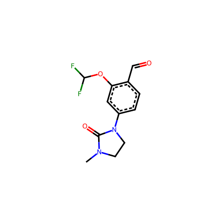 CN1CCN(c2ccc(C=O)c(OC(F)F)c2)C1=O